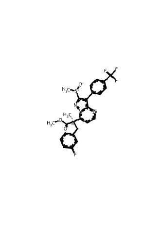 COC(=O)[C@](C)(Cc1cccc(F)c1)c1ccnc2c(-c3ccc(C(F)(F)F)cc3)c([S+](C)[O-])nn12